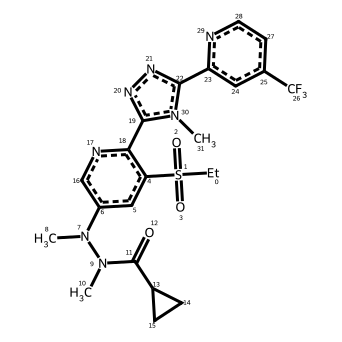 CCS(=O)(=O)c1cc(N(C)N(C)C(=O)C2CC2)cnc1-c1nnc(-c2cc(C(F)(F)F)ccn2)n1C